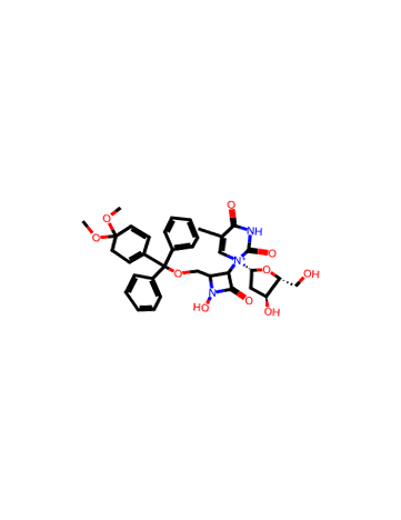 COC1(OC)C=CC(C(OCC2C([N+]3([C@H]4C[C@H](O)[C@@H](CO)O4)C=C(C)C(=O)NC3=O)C(=O)N2O)(c2ccccc2)c2ccccc2)=CC1